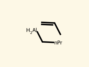 C=CC.CCC[CH2][AlH2]